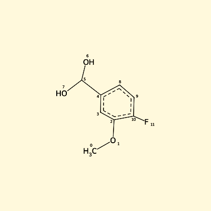 COc1cc(C(O)O)ccc1F